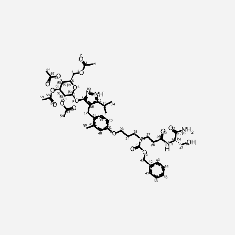 CC(=O)OC[C@H]1O[C@@H](Oc2n[nH]c(C(C)C)c2Cc2ccc(OCCCN(CCC(=O)N[C@@H](CO)C(N)=O)C(=O)OCc3ccccc3)cc2C)[C@H](OC(C)=O)[C@@H](OC(C)=O)[C@@H]1OC(C)=O